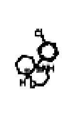 Clc1cccc([C@]23CCCC[C@H]2OCCN3)c1